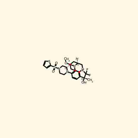 COC1CC2COC[C@H](C1)N2C[C@H]1CN(S(=O)(=O)c2cccs2)CCN1c1ccc([C@@](C)(O)C(F)(F)F)cc1